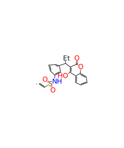 [CH]=CS(=O)(=O)Nc1cccc(C(CC)c2c(O)c3ccccc3oc2=O)c1